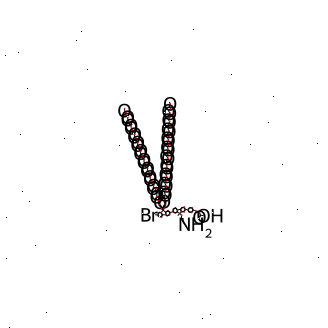 COCCOOCCOOCCOOCCOOCCOOCCOOCCOOCCOOCCOOCCOOCCOCCCC1(CCCOCCOOCCOOCCOOCCOOCCOOCCOOCCOOCCOOCCOOCCOOCCOC)c2cc(Br)ccc2-c2ccc(-c3ccc4c(c3)C(C)(CCCCN)c3cc(-c5ccc(CCCC(=O)O)cc5)ccc3-4)cc21